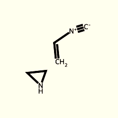 C1CN1.[C-]#[N+]C=C